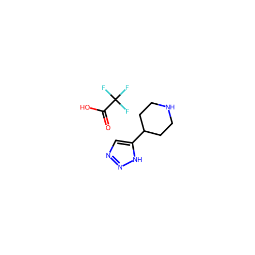 O=C(O)C(F)(F)F.c1nn[nH]c1C1CCNCC1